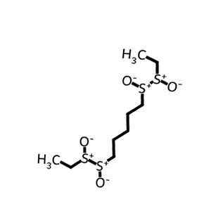 CC[S+]([O-])[S+]([O-])CCCCC[S+]([O-])[S+]([O-])CC